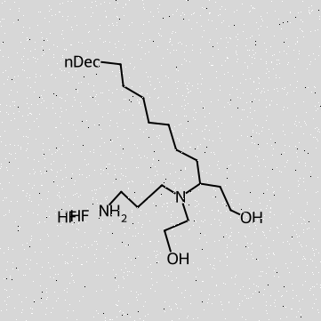 CCCCCCCCCCCCCCCCCC(CCO)N(CCO)CCCN.F.F